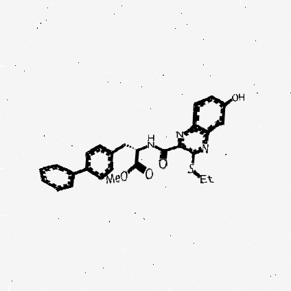 CCSc1nc2cc(O)ccc2nc1C(=O)N[C@@H](Cc1ccc(-c2ccccc2)cc1)C(=O)OC